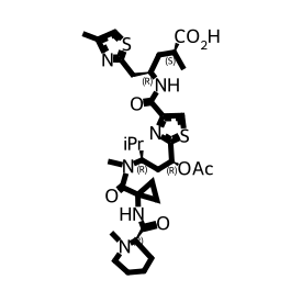 CC(=O)O[C@H](C[C@H](C(C)C)N(C)C(=O)C1(NC(=O)[C@H]2CCCCN2C)CC1)c1nc(C(=O)N[C@@H](Cc2nc(C)cs2)C[C@H](C)C(=O)O)cs1